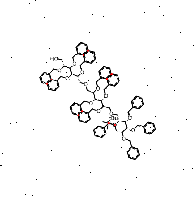 CC(C)(C)[Si](C)(C)OC[C@@H](OCc1ccccc1)[C@@H](OCc1ccccc1)[C@H](OCc1ccccc1)[C@@H](COC[C@@H](OCc1ccccc1)[C@@H](OCc1ccccc1)[C@H](OCc1ccccc1)[C@@H](COC[C@@H](OCc1ccccc1)[C@@H](OCc1ccccc1)[C@H](OCc1ccccc1)[C@@H](CO)OCc1ccccc1)OCc1ccccc1)OCc1ccccc1